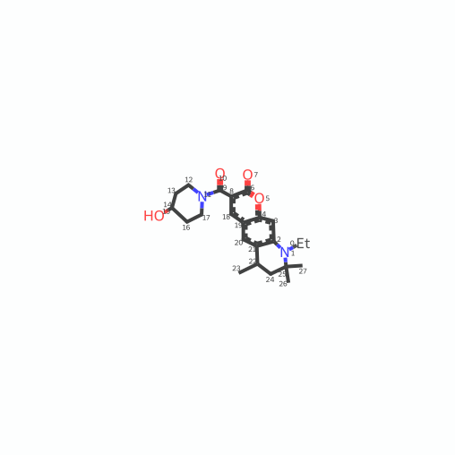 CCN1c2cc3oc(=O)c(C(=O)N4CCC(O)CC4)cc3cc2C(C)CC1(C)C